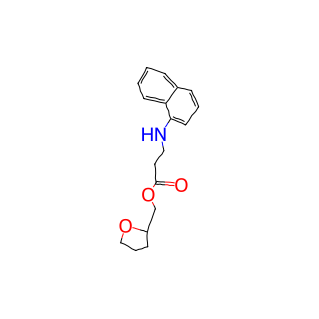 O=C(CCNc1cccc2ccccc12)OCC1CCCO1